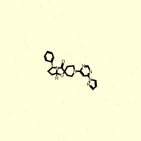 O=C1N2[C@@H](CC[C@H]2c2ccccc2)OC12CCN(c1cc(-n3cccn3)ncn1)CC2